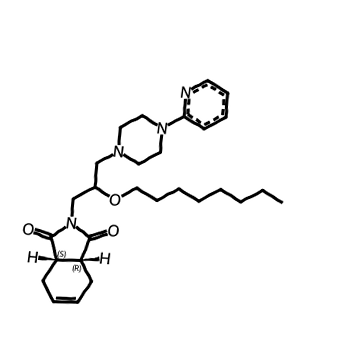 CCCCCCCCOC(CN1CCN(c2ccccn2)CC1)CN1C(=O)[C@H]2CC=CC[C@H]2C1=O